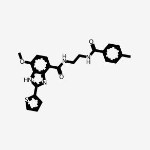 COc1ccc(C(=O)NCCNC(=O)c2ccc(C)cc2)c2nc(-c3cccs3)[nH]c12